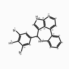 Oc1c(Br)cc(C2Nc3ccccc3-c3ccnc4[nH]cc2c34)cc1Br